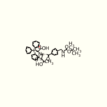 C[C@@H](O)[C@H]1C(=O)N(C(C(=O)O)=P(c2ccccc2)(c2ccccc2)c2ccccc2)[C@@H]1CC(=O)c1ccc(CNC(=O)OC(C)(C)C)cc1